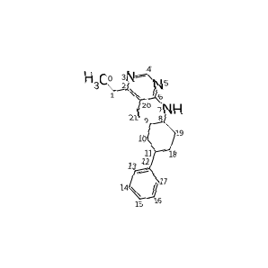 CCc1ncnc(NC2CCC(c3ccccc3)CC2)c1I